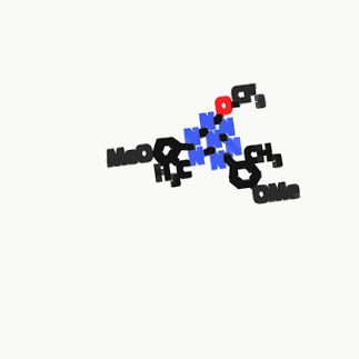 COc1ccc(C2=NC3=NC(OCC(F)(F)F)=NC4=NC(c5ccc(OC)cc5C)=NC(=N2)N34)c(C)c1